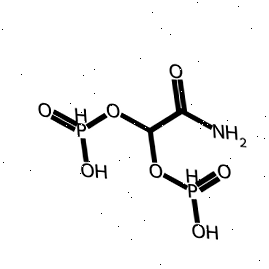 NC(=O)C(O[PH](=O)O)O[PH](=O)O